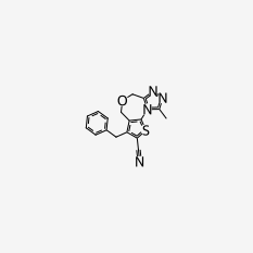 Cc1nnc2n1-c1sc(C#N)c(Cc3ccccc3)c1COC2